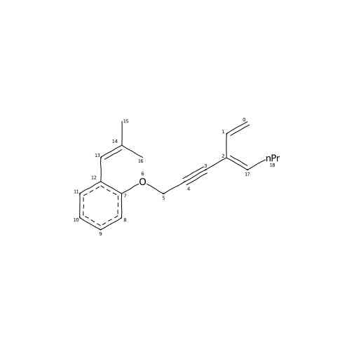 C=C/C(C#CCOc1ccccc1C=C(C)C)=C\CCC